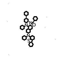 c1ccc(-c2ccc(N(c3ccccc3)c3c4ccc(N(c5ccccc5)c5cccc6c5sc5ccccc56)cc4cc4oc(-c5ccccc5)nc34)cc2)cc1